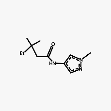 CCC(C)(C)CC(=O)Nc1cnn(C)c1